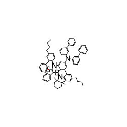 CCCCc1ccc(N2c3cc(N(c4cccc(-c5ccccc5)c4)c4cccc(-c5ccccc5)c4)cc4c3B(c3c2sc2ccccc32)N2c3c-4cc(CCCC)cc3C3(C)CCCCC23C)c(-c2ccccc2)c1